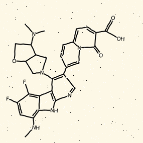 CNc1cc(F)c(F)c2c1[nH]c1ncc(-c3ccc4ccc(C(=O)O)c(=O)n4c3)c(N3CC4OCC(N(C)C)C4C3)c12